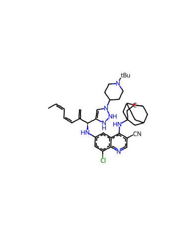 C=C(/C=C\C=C/C)[C@H](Nc1cc(Cl)c2ncc(C#N)c(NC34CCC5CC(CC(C5)C3)C4)c2c1)C1=CN(C2CCN(C(C)(C)C)CC2)NN1